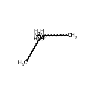 CCCCCC=CCC=CCCCCCCCC(=O)NC(CCN)C(=O)NCCCCCCCCC=CCCCCCCCC